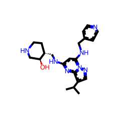 CC(C)c1cnn2c(NCc3ccncc3)cc(NC[C@H]3CCNC[C@@H]3O)nc12